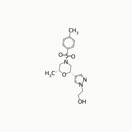 Cc1ccc(S(=O)(=O)N2C[C@@H](C)O[C@@H](c3cnn(CCO)c3)C2)cc1